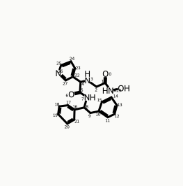 O=C(CNC(C(=O)NC(Cc1ccccc1)c1ccccc1)c1cccnc1)NO